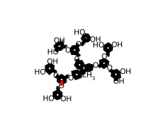 CC(c1ccc(OCc2cc(OCc3cc(O)cc(O)c3)cc(OCc3cc(O)cc(O)c3)c2)cc1)(c1ccc(OCc2cc(OCc3cc(O)cc(O)c3)cc(OCc3cc(O)cc(O)c3)c2)cc1)c1ccc(OCc2cc(OCc3cc(O)cc(O)c3)cc(OCc3cc(O)cc(O)c3)c2)cc1